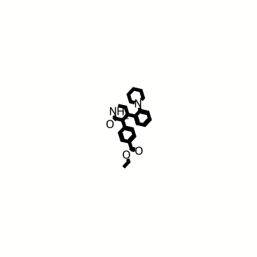 CCOC(=O)c1ccc(C(C(N)=O)C(CC)c2ccccc2N2CCCCC2)cc1